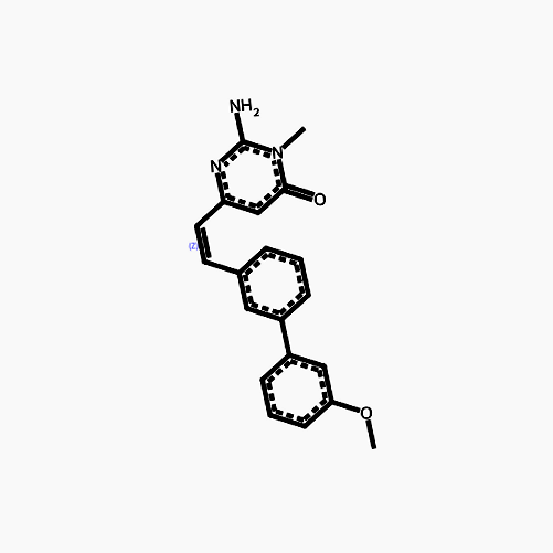 COc1cccc(-c2cccc(/C=C\c3cc(=O)n(C)c(N)n3)c2)c1